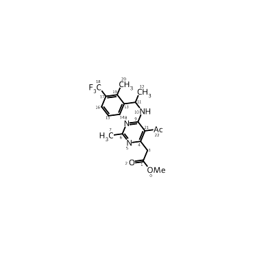 COC(=O)Cc1nc(C)nc(NC(C)c2cccc(C(F)(F)F)c2C)c1C(C)=O